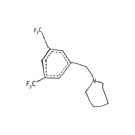 FC(F)(F)c1cc(CN2CCCC2)cc(C(F)(F)F)c1